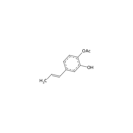 CC=Cc1ccc(OC(C)=O)c(O)c1